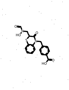 O=CN(O)CC1Sc2ccccc2N(Cc2ccc(C(=O)O)cc2)C1=O